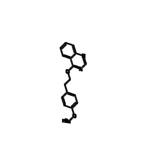 CCCCOc1ccc(CCOc2ncnc3ccccc23)cc1